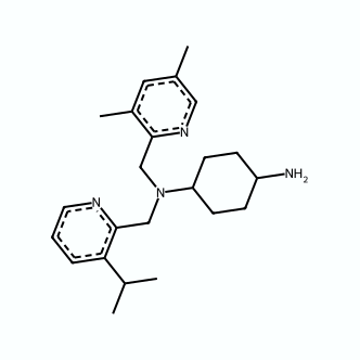 Cc1cnc(CN(Cc2ncccc2C(C)C)C2CCC(N)CC2)c(C)c1